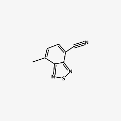 Cc1ccc(C#N)c2nsnc12